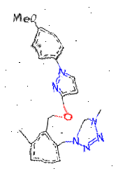 COc1ccc(-n2ccc(OCc3c(C)cccc3N3CN(C)N=N3)n2)cc1